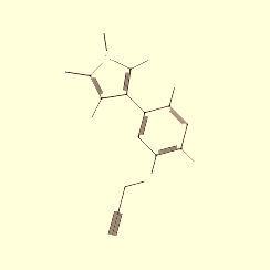 C#CCOc1cc(-c2c(Cl)c(C)n(C)c2Cl)c(F)cc1Cl